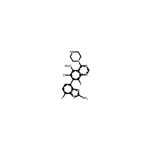 COc1c(Cl)c(-c2ccc(F)c3sc(N)nc23)c(F)c2ncnc(N3CCNCC3)c12